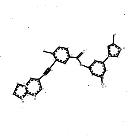 Cc1cn(-c2cc(NC(=O)c3ccc(C)c(C#Cc4cnc5nccn5c4)c3)cc(C(F)(F)F)c2)cn1